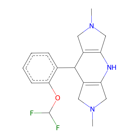 CN1CC2=C(C1)C(c1ccccc1OC(F)F)C1=C(CN(C)C1)N2